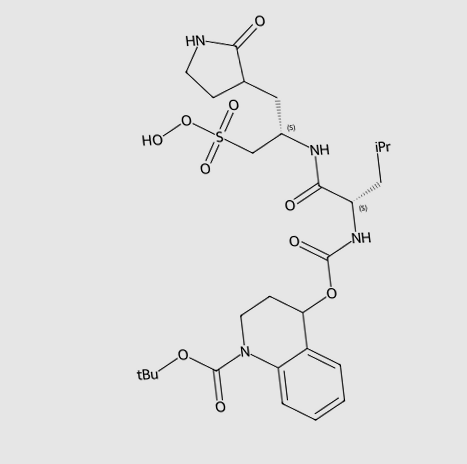 CC(C)C[C@H](NC(=O)OC1CCN(C(=O)OC(C)(C)C)c2ccccc21)C(=O)N[C@@H](CC1CCNC1=O)CS(=O)(=O)OO